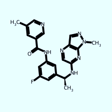 Cc1cncc(C(=O)Nc2cc(F)cc([C@H](C)Nc3cnc4cnn(C)c4n3)c2)c1